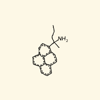 CCCC(C)(N)c1ccc2ccc3cccc4ccc1c2c34